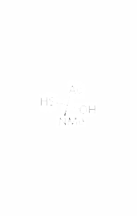 CN[C@@](O)(S)C(C)=O